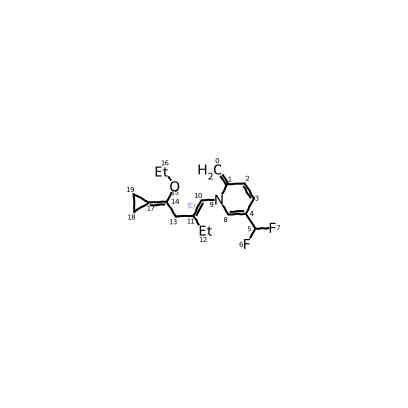 C=C1C=CC(C(F)F)=CN1/C=C(\CC)CC(OCC)=C1CC1